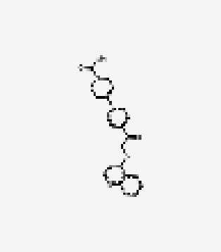 CC(C)(C)C(=O)N1CC=C(c2ccc(C(=O)CSc3ccnc4ccccc34)cc2)CC1